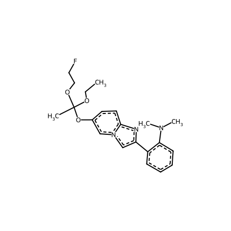 CCOC(C)(OCCF)Oc1ccc2nc(-c3ccccc3N(C)C)cn2c1